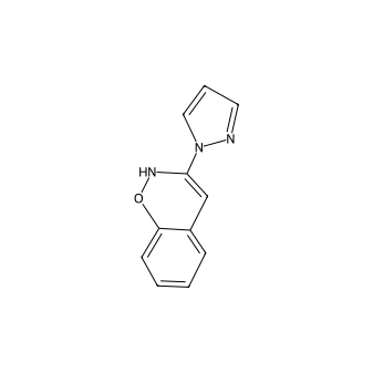 C1=C(n2cccn2)NOc2ccccc21